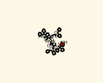 O=C(CO/N=C(\C(=O)N[C@@H]1C(=O)N2C(C(=O)OC(c3ccccc3)c3ccccc3)=C(SC(Sc3c[nH]nn3)C(c3ccccc3)(c3ccccc3)c3ccccc3)CS[C@H]12)c1csc(NC(c2ccccc2)(c2ccccc2)c2ccccc2)n1)OC(c1ccccc1)c1ccccc1